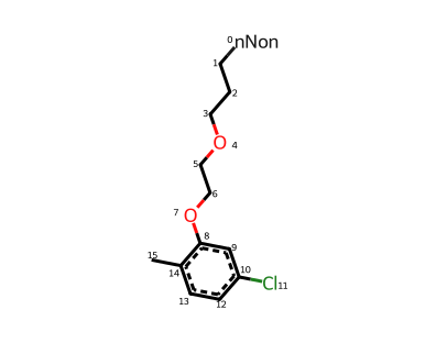 CCCCCCCCCCCCOCCOc1cc(Cl)ccc1C